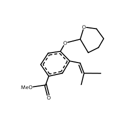 COC(=O)c1ccc(OC2CCCCO2)c(C=C(C)C)c1